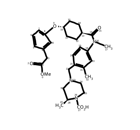 COC(=O)Cc1cccc(O[C@H]2CC[C@H](C(=O)N(C)c3ccc(CN4CCN(C(=O)O)[C@@H](C)C4)c(C)c3)CC2)c1